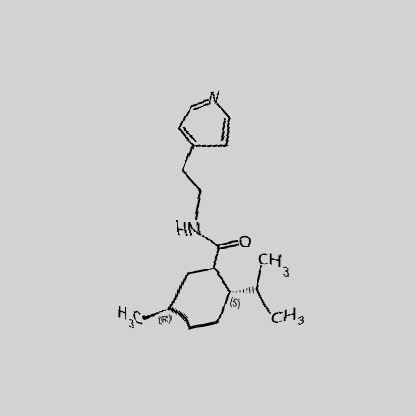 CC(C)[C@@H]1CC[C@@H](C)CC1C(=O)NCCc1ccncc1